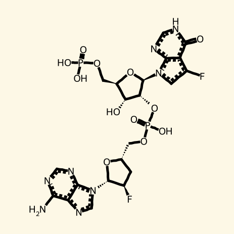 Nc1ncnc2c1ncn2[C@@H]1O[C@H](COP(=O)(O)O[C@@H]2[C@H](O)[C@@H](COP(=O)(O)O)O[C@H]2n2cc(F)c3c(=O)[nH]cnc32)C[C@H]1F